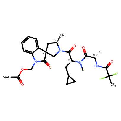 COC(=O)OCN1C(=O)[C@]2(C[C@@H](C#N)N(C(=O)[C@H](CC3CC3)N(C)C(=O)[C@H](C)NC(=O)C(F)(F)C(F)(F)F)C2)c2ccccc21